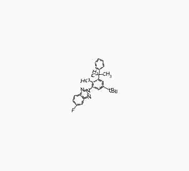 CC(C)(C)c1cc(-n2nc3ccc(F)cc3n2)c(O)c(C(C)(C)c2ccccc2)c1